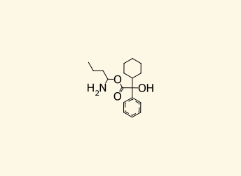 CCCC(N)OC(=O)C(O)(c1ccccc1)C1CCCCC1